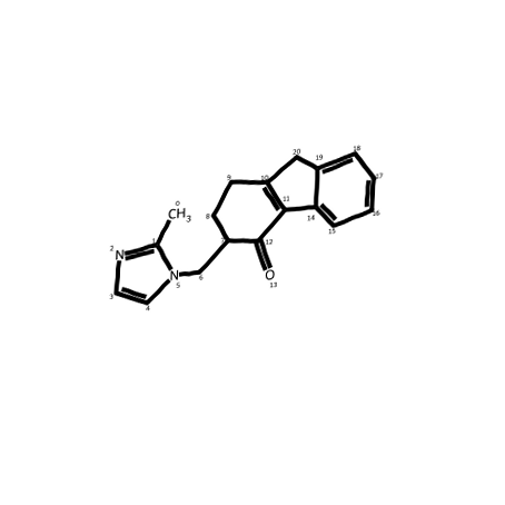 Cc1nccn1CC1CCC2=C(C1=O)c1ccccc1C2